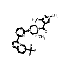 Cc1nn(C)cc1C(=O)N1CCN(c2ccnc(-c3cnc4ccc(C(F)(F)F)cn34)n2)C[C@H]1C